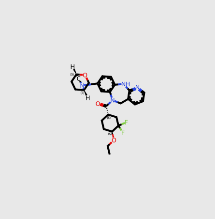 CCO[C@H]1CC[C@H](C(=O)N2Cc3cccnc3Nc3ccc(N4C[C@@H]5CC[C@H]4CO5)cc32)CC1(F)F